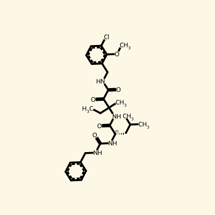 CCC(C)(NC(=O)[C@H](CC(C)C)NC(=O)NCc1ccccc1)C(=O)C(=O)NCc1cccc(Cl)c1OC